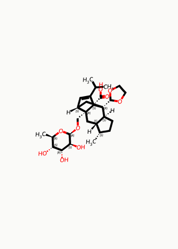 CC(C)C1=C[C@@H]2C[C@@]3(C4OCCO4)[C@H]4CC[C@H](C)[C@@H]4C[C@]2(CO[C@@H]2O[C@H](C)[C@@H](O)[C@@H](O)[C@@H]2O)[C@@]13C(=O)O